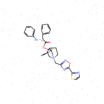 O=C(O[C@H]1C[N+]2(Cc3noc(-c4nccs4)n3)CCC1CC2)[C@H](Nc1ccccc1)c1ccccc1